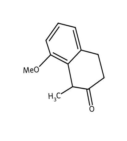 COc1cccc2c1C(C)C(=O)CC2